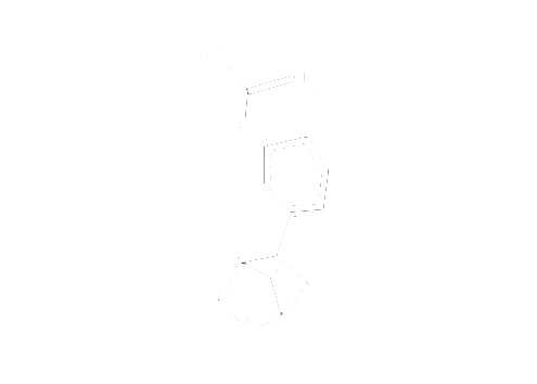 C=C(C)Oc1cccc(C2CC3C=CC2C3)c1